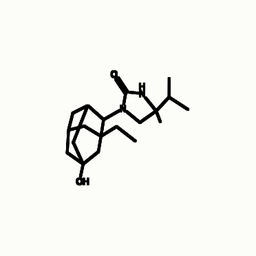 CCC12CC3CC(CC(O)(C3)C1)C2N1CC(C)(C(C)C)NC1=O